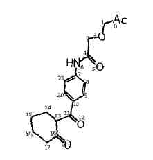 CC(=O)COCC(=O)Nc1ccc(C(=O)C2CCCCC2=O)cc1